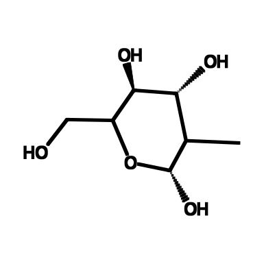 CC1[C@H](O)OC(CO)[C@@H](O)[C@@H]1O